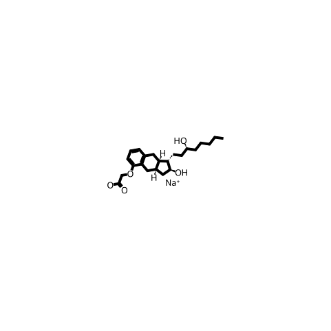 CCCCC[C@@H](O)CC[C@H]1[C@@H]2Cc3cccc(OCC(=O)[O-])c3C[C@@H]2C[C@@H]1O.[Na+]